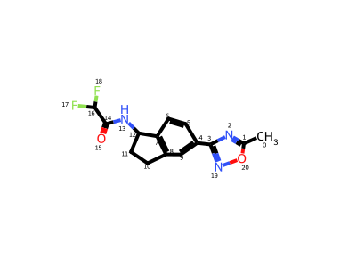 Cc1nc(-c2ccc3c(c2)CCC3NC(=O)C(F)F)no1